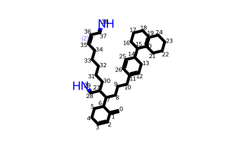 C=C1C=CCCC1C(CCCC1=CCC(C2CCCC3=C2CCCC3)C=C1)C(C=N)CCCCC/C=C\C=N